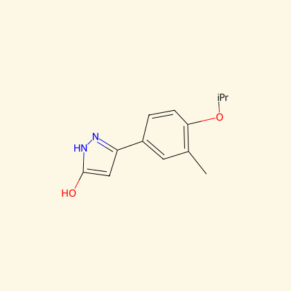 Cc1cc(-c2cc(O)[nH]n2)ccc1OC(C)C